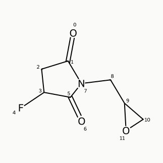 O=C1CC(F)C(=O)N1CC1CO1